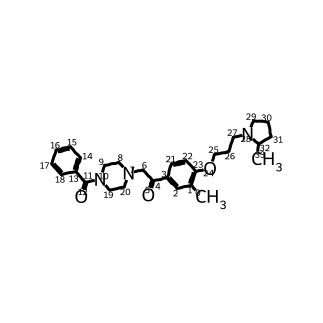 Cc1cc(C(=O)CN2CCN(C(=O)c3ccccc3)CC2)ccc1OCCCN1CCCC1C